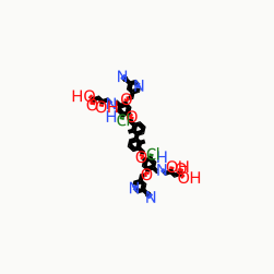 Cc1c(COc2cc(OCc3cncc(C#N)c3)c(CNCC(O)CC(=O)O)cc2Cl)cccc1-c1cccc(COc2cc(OCc3cncc(C#N)c3)c(CNCC(O)CC(=O)O)cc2Cl)c1C